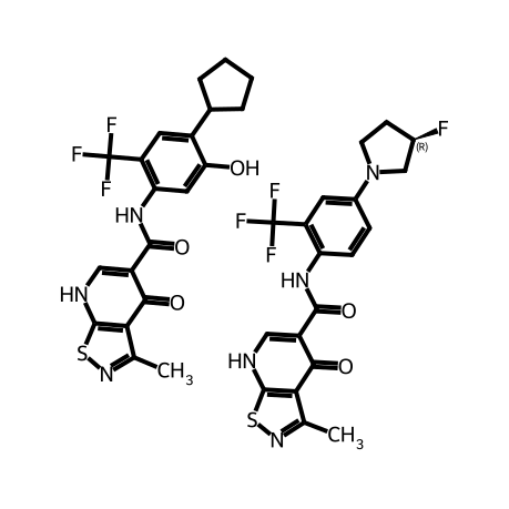 Cc1nsc2[nH]cc(C(=O)Nc3cc(O)c(C4CCCC4)cc3C(F)(F)F)c(=O)c12.Cc1nsc2[nH]cc(C(=O)Nc3ccc(N4CC[C@@H](F)C4)cc3C(F)(F)F)c(=O)c12